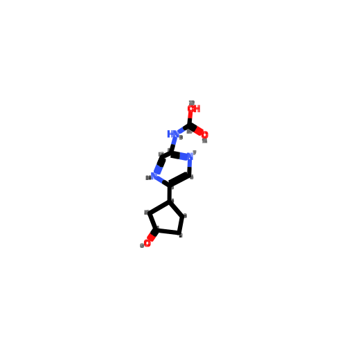 O=C1CCC(c2cnc(NC(=O)O)cn2)C1